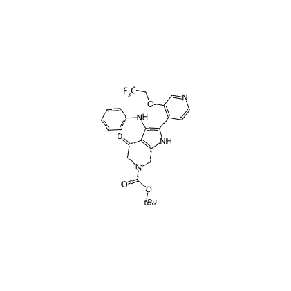 CC(C)(C)OC(=O)N1CC(=O)c2c([nH]c(-c3ccncc3OCC(F)(F)F)c2Nc2ccccc2)C1